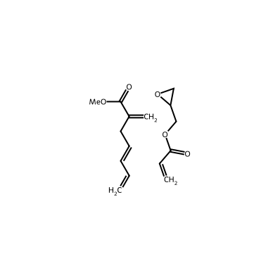 C=CC(=O)OCC1CO1.C=CC=CCC(=C)C(=O)OC